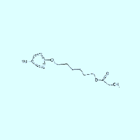 C=CC(=O)OCCCCCCOc1ccc(O)cc1